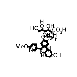 CCOc1cc2c(cc1OC)C(c1ccc(OC)nc1)=N[C@@H]1CC[C@@H](O)C[C@H]21.O=C(O)[C@H](O)[C@@H](O)[C@H](O)[C@H](O)CO